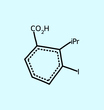 CC(C)c1c(I)cccc1C(=O)O